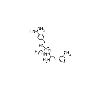 Cc1cccc(CC[C@@H](N)C(=O)N[C@@H](C)C(=O)NCc2ccc(C(=N)N)cc2)c1